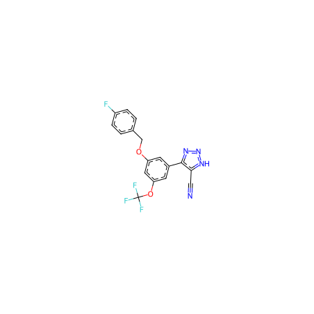 N#Cc1[nH]nnc1-c1cc(OCc2ccc(F)cc2)cc(OC(F)(F)F)c1